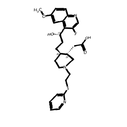 COc1ccc2ncc(F)c([C@@H](O)CC[C@@H]3CCN(CCSc4ccccn4)C[C@H]3CC(=O)O)c2c1